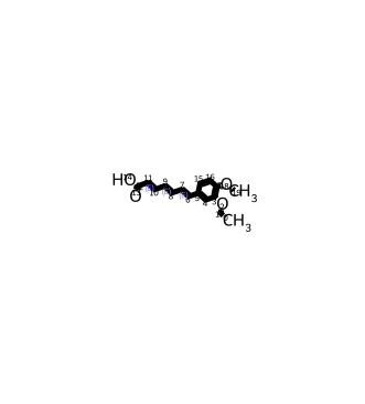 CCOc1cc(/C=C/C=C/C=C/C(=O)O)ccc1OC